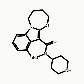 CCCCc1cccc2c1c(C(=O)N(C)C1CCNCC1)c1n2CCCCO1